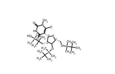 Cn1c(Cl)c([C@@H]2O[C@H](CO[Si](C)(C)C(C)(C)C)C(O[Si](C)(C)C(C)(C)C)[C@@H]2CC(C)(C)[Si](C)(C)O)c(=O)[nH]c1=O